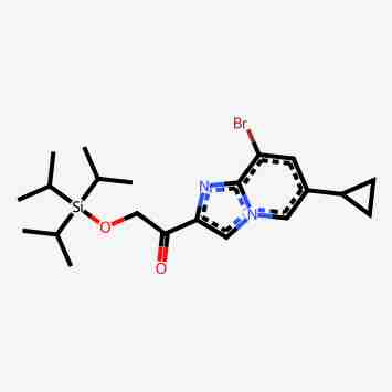 CC(C)[Si](OCC(=O)c1cn2cc(C3CC3)cc(Br)c2n1)(C(C)C)C(C)C